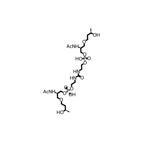 CC(=O)N[C@H](COCC[C@@H](C)O)COP(=O)(O)OCCNC(=O)NCCOP(=O)(O)OC[C@H](COCC[C@@H](C)O)NC(C)=O